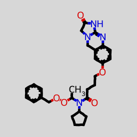 CC(OOCc1ccccc1)N(C(=O)CCCOc1ccc2c(c1)CN1CC(=O)NC1=N2)C1CCCC1